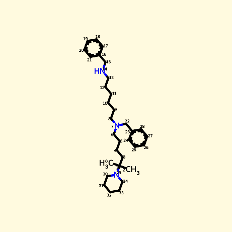 CC(C)(CCCCN(CCCCCCNCc1ccccc1)Cc1ccccc1)N1CCCCC1